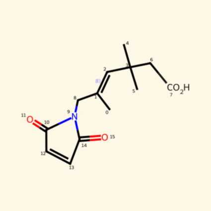 C/C(=C\C(C)(C)CC(=O)O)CN1C(=O)C=CC1=O